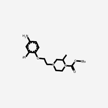 CC(C)c1cc(N)ccc1OCCN1CCN(C(=O)OC(C)(C)C)C(C)C1